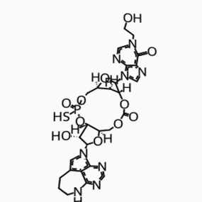 O=C1OC[C@H]2O[C@@H](n3cc4c5c(ncnc53)NCCC4)[C@H](O)[C@@H]2OP(=O)(S)OC[C@H]2O[C@@H](n3cnc4c(=O)n(CCO)cnc43)[C@H](O1)[C@@H]2F